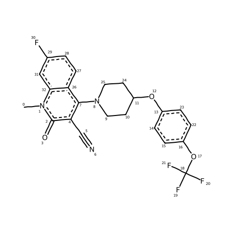 Cn1c(=O)c(C#N)c(N2CCC(Oc3ccc(OC(F)(F)F)cc3)CC2)c2ccc(F)cc21